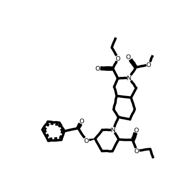 CCOC(=O)C1CC2CC(N3C[C@H](OC(=O)c4ccccc4)CCC3C(=O)OCC)CCC2CN1C(=O)OC